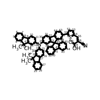 CC1(C)c2ccccc2-c2ccc(N(c3ccc4c(c3)C(C)(C)c3ccccc3-4)c3ccc4c(c3)C3(c5ccccc5-c5ccccc53)c3cc(-c5ccc(C=C(C#N)C(=O)O)s5)ccc3-4)cc21